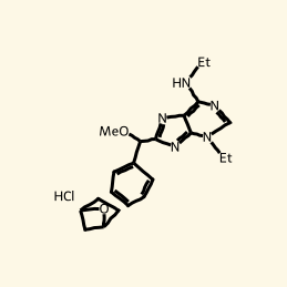 C1CC2CC1O2.CCNc1ncn(CC)c2nc(C(OC)c3ccccc3)nc1-2.Cl